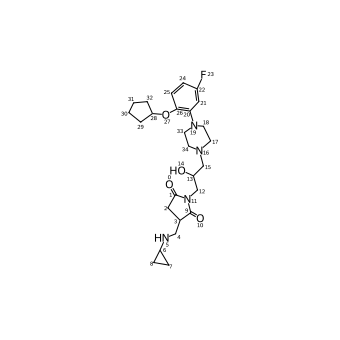 O=C1CC(CNC2CC2)C(=O)N1CC(O)CN1CCN(c2cc(F)ccc2OC2CCCC2)CC1